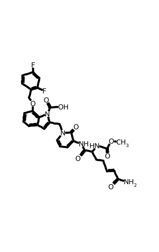 COC(=O)NC(CCC=CC(N)=O)C(=O)Nc1cccn(Cc2cc3cccc(OCc4ccc(F)cc4F)c3n2C(=O)O)c1=O